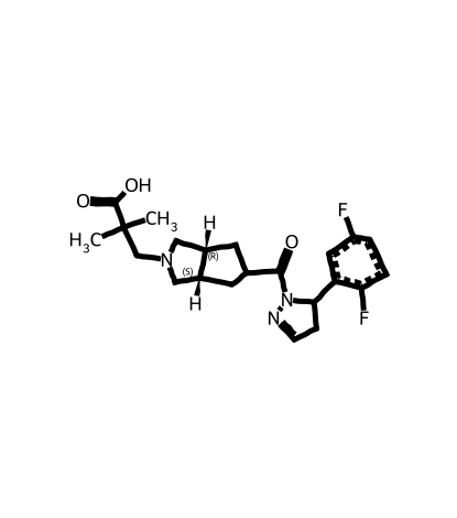 CC(C)(CN1C[C@H]2CC(C(=O)N3N=CCC3c3cc(F)ccc3F)C[C@H]2C1)C(=O)O